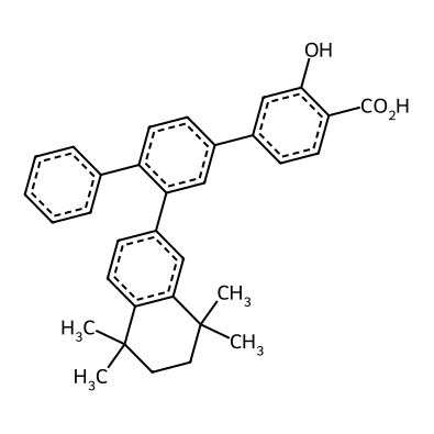 CC1(C)CCC(C)(C)c2cc(-c3cc(-c4ccc(C(=O)O)c(O)c4)ccc3-c3ccccc3)ccc21